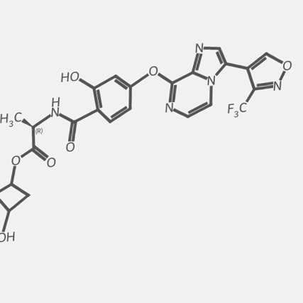 C[C@@H](NC(=O)c1ccc(Oc2nccn3c(-c4conc4C(F)(F)F)cnc23)cc1O)C(=O)OC1CC(O)C1